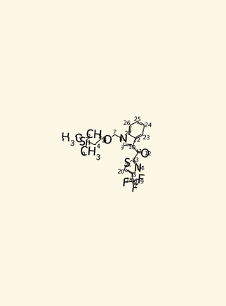 C[Si](C)(C)CCOCn1cc(C(=O)c2nc(C(F)(F)F)cs2)c2ccccc21